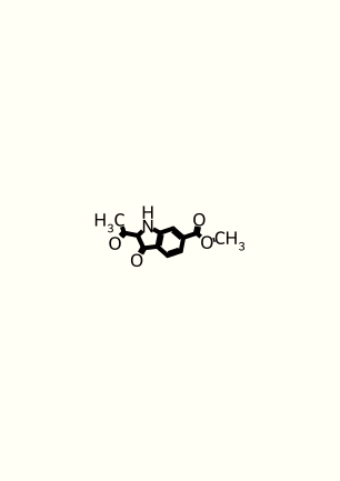 COC(=O)c1ccc2c(c1)NC(C(C)=O)C2=O